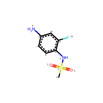 CS(=O)(=O)Nc1ccc(N)cc1F